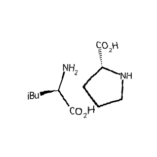 CCC(C)[C@@H](N)C(=O)O.O=C(O)[C@H]1CCCN1